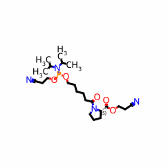 CC(C)N(C(C)C)P(OCCC#N)OCCCCCC(=O)N1CCC[C@H]1C(=O)OCCC#N